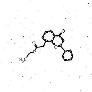 CCOC(=O)Cc1cccc2c(=O)cc(-c3ccccc3)oc12